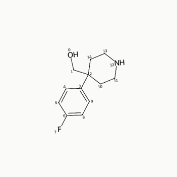 OCC1(c2ccc(F)cc2)CCNCC1